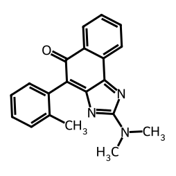 Cc1ccccc1C1=C2N=C(N(C)C)N=C2c2ccccc2C1=O